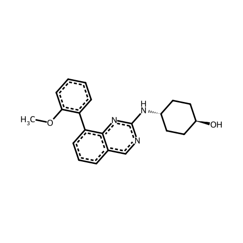 COc1ccccc1-c1cccc2cnc(N[C@H]3CC[C@H](O)CC3)nc12